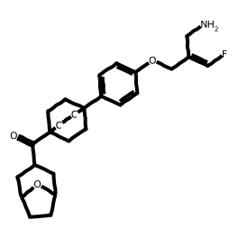 NC/C(=C\F)COc1ccc(C23CCC(C(=O)C4CC5CCC(C4)O5)(CC2)CC3)cc1